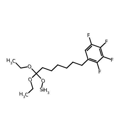 CCOC(CCCCCCc1cc(F)c(F)c(F)c1F)(O[SiH3])OCC